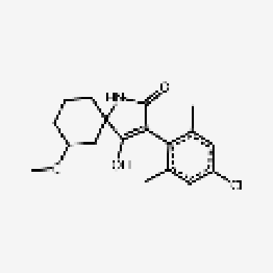 COC1CCCC2(C1)NC(=O)C(c1c(C)cc(Cl)cc1C)=C2O